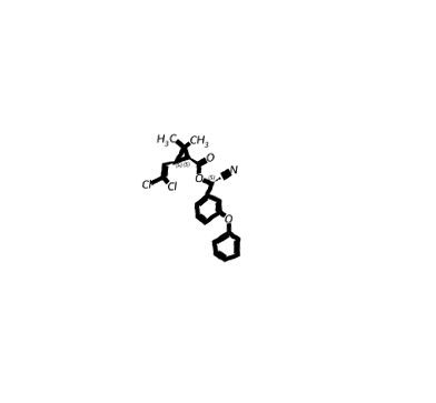 CC1(C)[C@H](C=C(Cl)Cl)[C@@H]1C(=O)O[C@H](C#N)c1cccc(Oc2ccccc2)c1